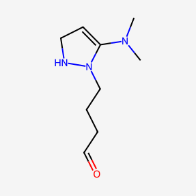 CN(C)C1=CCNN1CCCC=O